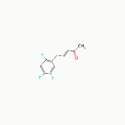 CC(=O)C=CCc1cc(F)c(F)cc1F